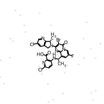 C[C@@H]1c2ncc(Cl)cc2CN1c1nc2c([C@@H](C)Nc3ccc(Cl)nc3C(=O)O)cc(F)cn2c(=O)c1Br